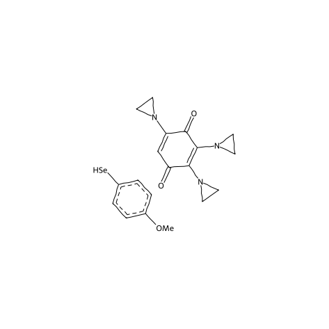 COc1ccc([SeH])cc1.O=C1C=C(N2CC2)C(=O)C(N2CC2)=C1N1CC1